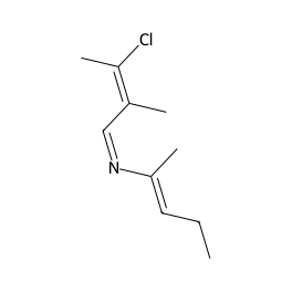 CC/C=C(C)/N=C\C(C)=C(/C)Cl